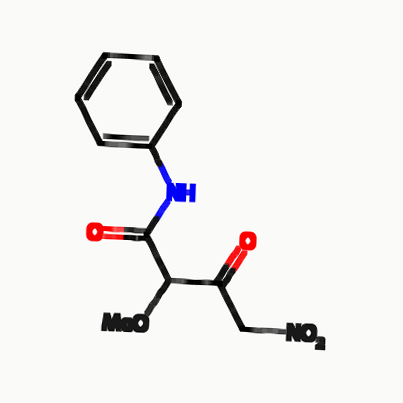 COC(C(=O)C[N+](=O)[O-])C(=O)Nc1ccccc1